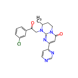 CC1CCn2c(nc(-c3ccncn3)cc2=O)N1CC(=O)c1cccc(Cl)c1